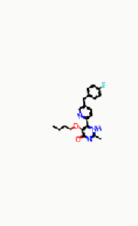 CCCCOc1c(-c2ccc(Cc3ccc(F)cc3)cn2)[nH]c(C)nc1=O